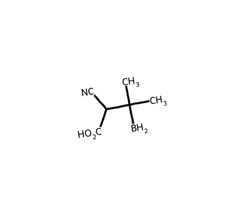 BC(C)(C)C(C#N)C(=O)O